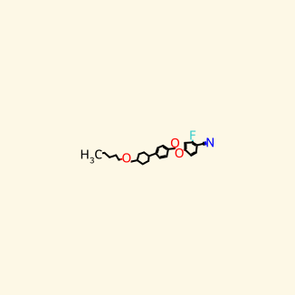 CCCCCOCC1CCC(c2ccc(C(=O)Oc3ccc(C#N)c(F)c3)cc2)CC1